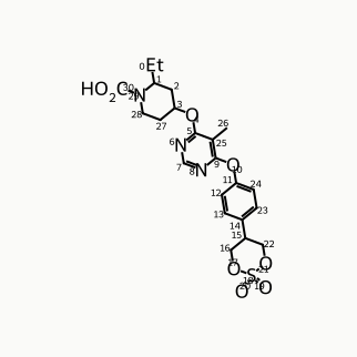 CCC1CC(Oc2ncnc(Oc3ccc(C4COS(=O)(=O)OC4)cc3)c2C)CCN1C(=O)O